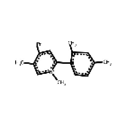 Cc1ccc(-c2cc(C(C)C)c(C)c[n+]2C)c(C)c1